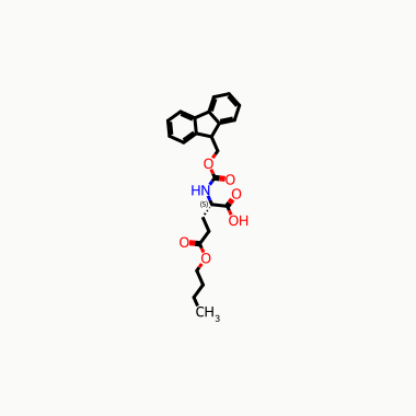 CCCCOC(=O)CC[C@H](NC(=O)OCC1c2ccccc2-c2ccccc21)C(=O)O